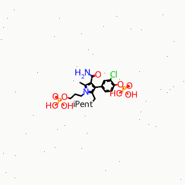 CCCC(C)Cc1c(-c2ccc(OP(=O)(O)O)c(Cl)c2)c(C(N)=O)c(C)n1CCCOP(=O)(O)O